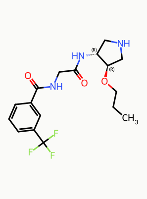 CCCO[C@@H]1CNC[C@H]1NC(=O)CNC(=O)c1cccc(C(F)(F)F)c1